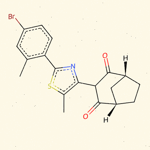 Cc1cc(Br)ccc1-c1nc(C2C(=O)[C@@H]3CC[C@@H](C3)C2=O)c(C)s1